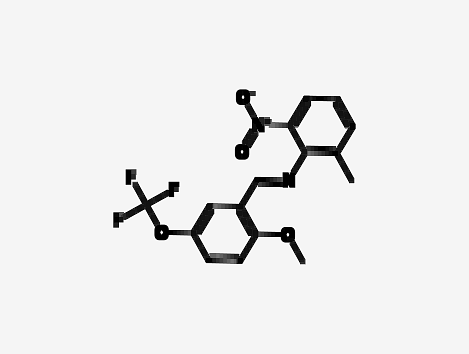 COc1ccc(OC(F)(F)F)cc1C=Nc1c(C)cccc1[N+](=O)[O-]